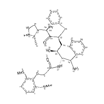 CSc1cccc(SC)c1OCC(=O)N[C@@H](C(N)c1ccccc1)[C@@H](O)C[C@H](Cc1ccccc1)C(=O)C(C(C)C)N1CCNC1=O